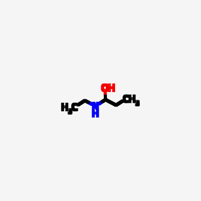 CCNC(O)CC